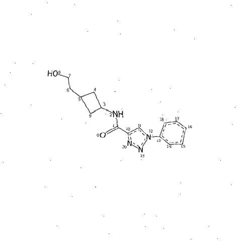 O=C(NC1CC(CCO)C1)c1cn(-c2ccccc2)nn1